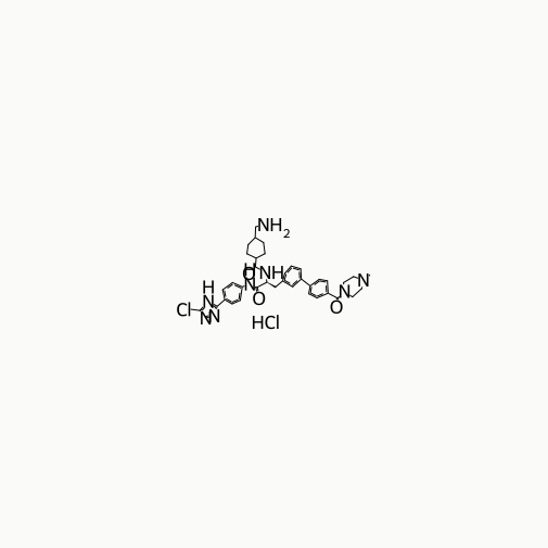 CN1CCN(C(=O)c2ccc(-c3cccc(C[C@H](NC(=O)C4CCC(CN)CC4)C(=O)Nc4ccc(-c5nnc(Cl)[nH]5)cc4)c3)cc2)CC1.Cl